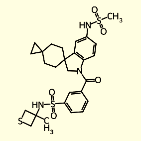 CC1(NS(=O)(=O)c2cccc(C(=O)N3CC4(CCC5(CC5)CC4)c4cc(NS(C)(=O)=O)ccc43)c2)CSC1